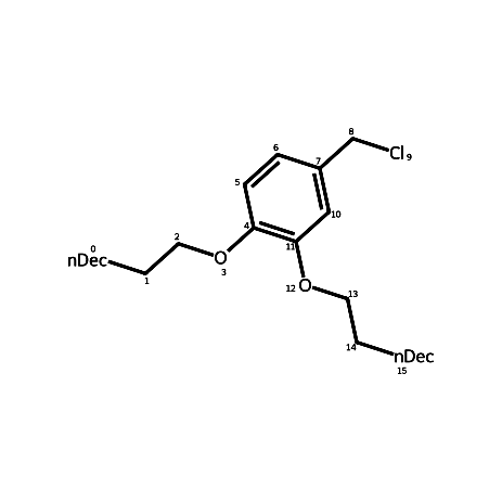 CCCCCCCCCCCCOc1ccc(CCl)cc1OCCCCCCCCCCCC